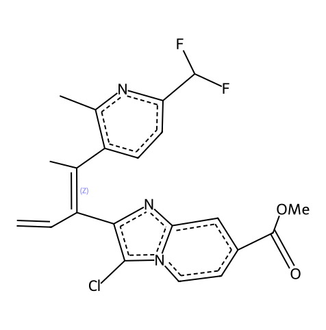 C=C/C(=C(\C)c1ccc(C(F)F)nc1C)c1nc2cc(C(=O)OC)ccn2c1Cl